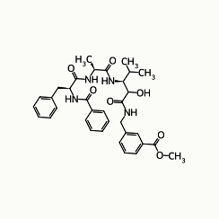 COC(=O)c1cccc(CNC(=O)C(O)[C@@H](NC(=O)[C@H](C)NC(=O)[C@H](Cc2ccccc2)NC(=O)c2ccccc2)C(C)C)c1